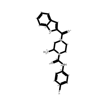 CC1CN(C(=O)c2cc3ccccc3o2)CCN1C(=O)Nc1ccc(F)cc1